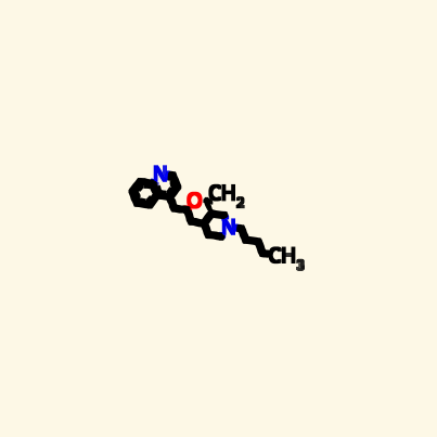 C=C[C@H]1CN(CCCCC)CCC1CC(=O)Cc1ccnc2ccccc12